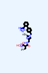 CCCCc1nc(CNC(=O)C(CC(C)C)C(=O)NO)cn1Cc1ccc(-c2ccccc2-c2nnn[nH]2)cc1